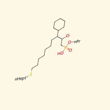 CCCCCCCSCCCCCCCC(C([O])CP(=O)(O)OCCC)C1CCCCC1